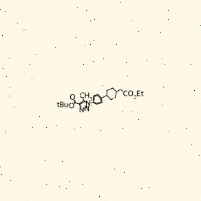 CCOC(=O)CC1CCC(c2ccc(-n3nnc(C(=O)OC(C)(C)C)c3C)cc2)CC1